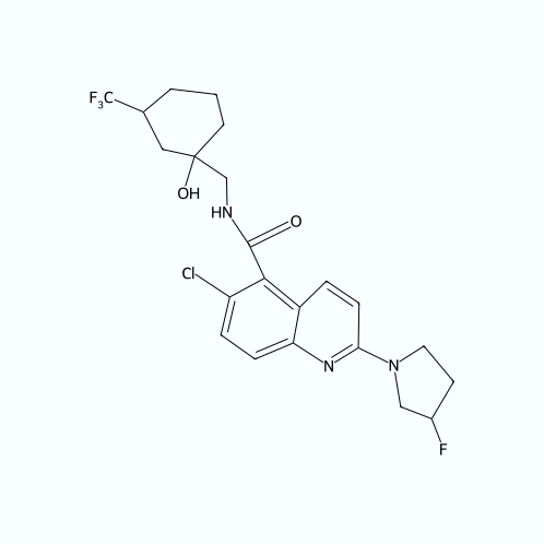 O=C(NCC1(O)CCCC(C(F)(F)F)C1)c1c(Cl)ccc2nc(N3CCC(F)C3)ccc12